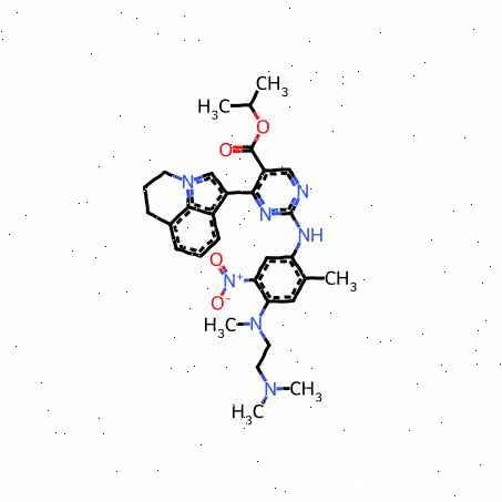 Cc1cc(N(C)CCN(C)C)c([N+](=O)[O-])cc1Nc1ncc(C(=O)OC(C)C)c(-c2cn3c4c(cccc24)CCC3)n1